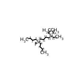 CCCC[Si](F)(CCCC)CCCC[Si](CC)(CC)CC